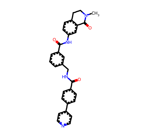 CN1CCc2ccc(NC(=O)c3cccc(CNC(=O)c4ccc(-c5ccncc5)cc4)c3)cc2C1=O